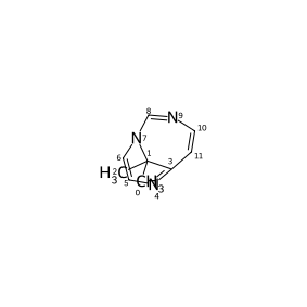 CC1(C)C2=NC=CN1C=NC=C2